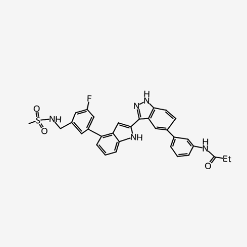 CCC(=O)Nc1cccc(-c2ccc3[nH]nc(-c4cc5c(-c6cc(F)cc(CNS(C)(=O)=O)c6)cccc5[nH]4)c3c2)c1